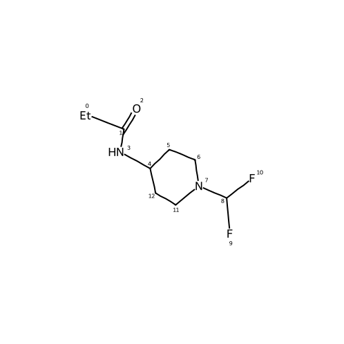 CCC(=O)NC1CCN(C(F)F)CC1